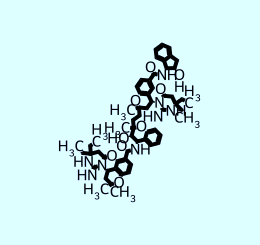 CCC1(CC)CC(=O)N([C@@H]2CC(C)(C)Oc3ccc(C(=O)N[C@@H]4c5ccccc5OC(C)(CCC5(C)C[C@@H](N6C(=N)NC(CC)(CC)CC6=O)c6cc(C(=O)N[C@@H]7c8ccccc8C[C@H]7O)ccc6O5)[C@H]4O)cc32)C(=N)N1